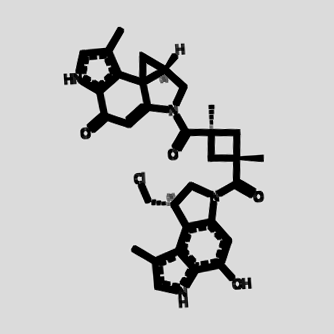 Cc1c[nH]c2c1C13C[C@@H]1CN(C(=O)[C@]1(C)C[C@@](C)(C(=O)N4C[C@@H](CCl)c5c4cc(O)c4[nH]cc(C)c54)C1)C3=CC2=O